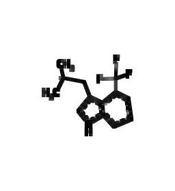 C[C](C)Cc1c[nH]c2cccc(C(F)(F)F)c12